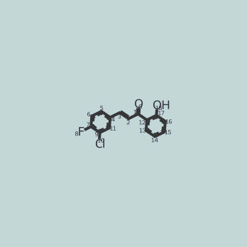 O=C(C=Cc1ccc(F)c(Cl)c1)c1ccccc1O